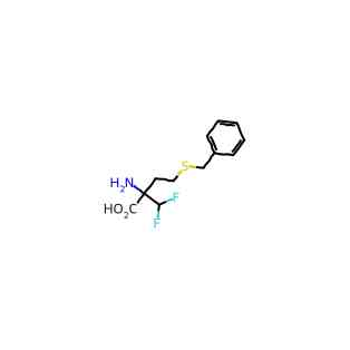 NC(CCSCc1ccccc1)(C(=O)O)C(F)F